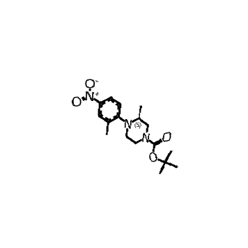 Cc1cc([N+](=O)[O-])ccc1N1CCN(C(=O)OC(C)(C)C)C[C@@H]1C